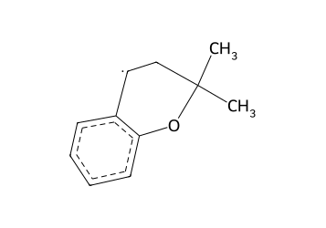 CC1(C)C[CH]c2ccccc2O1